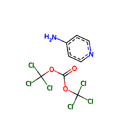 Nc1ccncc1.O=C(OC(Cl)(Cl)Cl)OC(Cl)(Cl)Cl